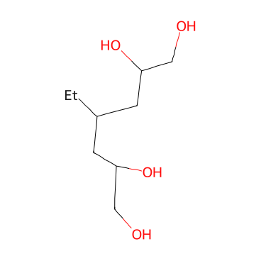 CCC(CC(O)CO)CC(O)CO